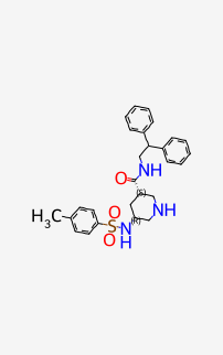 Cc1ccc(S(=O)(=O)N[C@H]2CNC[C@@H](C(=O)NCC(c3ccccc3)c3ccccc3)C2)cc1